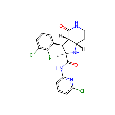 C[C@@]1(C(=O)Nc2cccc(Cl)n2)N[C@H]2CCNC(=O)[C@H]2[C@@H]1c1cccc(Cl)c1F